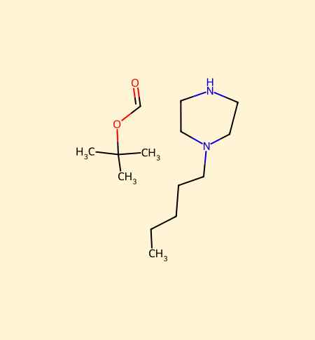 CC(C)(C)OC=O.CCCCCN1CCNCC1